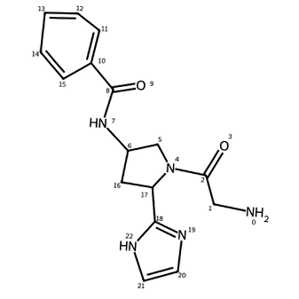 NCC(=O)N1CC(NC(=O)c2ccccc2)CC1c1ncc[nH]1